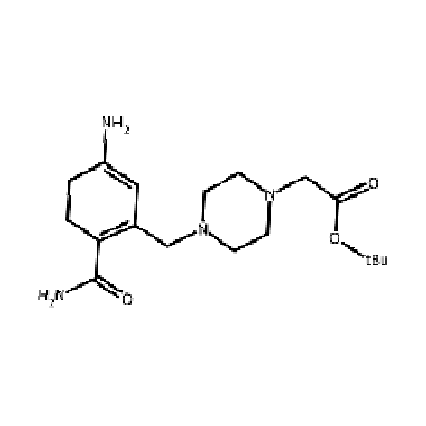 CC(C)(C)OC(=O)CN1CCN(CC2=C(C(N)=O)CCC(N)=C2)CC1